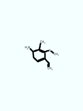 C=CC1=CCC(N)C(C)=C1SC